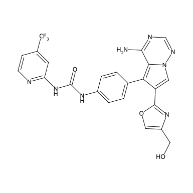 Nc1ncnn2cc(-c3nc(CO)co3)c(-c3ccc(NC(=O)Nc4cc(C(F)(F)F)ccn4)cc3)c12